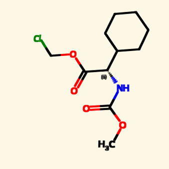 COC(=O)N[C@H](C(=O)OCCl)C1CCCCC1